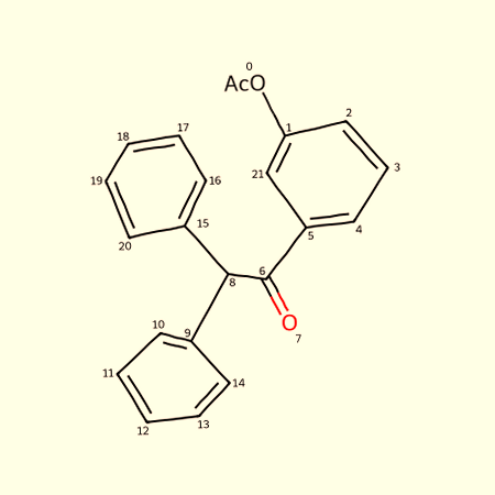 CC(=O)Oc1cccc(C(=O)C(c2ccccc2)c2ccccc2)c1